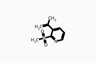 C=C(C)c1cccnc1S(C)(=O)=O